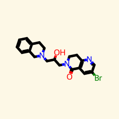 O=C1c2cc(Br)cnc2CCN1CC(O)CN1CCc2ccccc2C1